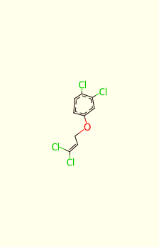 ClC(Cl)=CCOc1ccc(Cl)c(Cl)c1